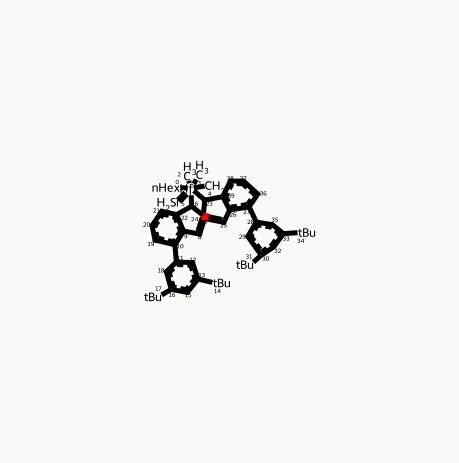 CCCCC[CH2][Hf]([CH3])([CH3])([CH3])(=[SiH2])([CH]1C=Cc2c(-c3cc(C(C)(C)C)cc(C(C)(C)C)c3)cccc21)[CH]1C=Cc2c(-c3cc(C(C)(C)C)cc(C(C)(C)C)c3)cccc21